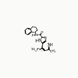 CC(=N)/C=C(/C)c1cnc(C(=O)NC2CCCc3ccccc32)[nH]1